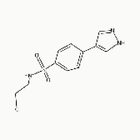 O=S(=O)(NCCCl)c1ccc(-c2cn[nH]c2)cc1